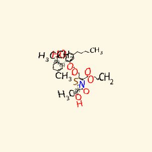 C=CCOC(=O)C1=C(COCOc2cc(CCCCC)cc(O)c2[C@@H]2C=C(C)CC[C@H]2C(=C)C)SC2[C@@H]([C@@H](C)O)C(=O)N12